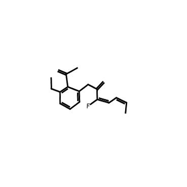 C=C(Cc1cccc(CC)c1C(=C)C)/C(F)=C\C=C/C